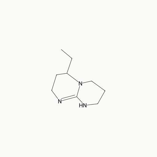 CCC1CCN=C2NCCCN21